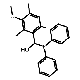 COc1c(C)cc(C)c(C(O)P(c2ccccc2)c2ccccc2)c1C